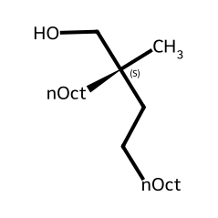 CCCCCCCCCC[C@@](C)(CO)CCCCCCCC